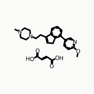 COc1ccc(-c2cccc3c2CC=C3CCN2CCN(C)CC2)cn1.O=C(O)C=CC(=O)O